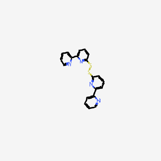 c1ccc(-c2cccc(SSc3cccc(-c4ccccn4)n3)n2)nc1